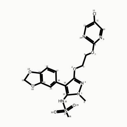 Cn1nc(OCCOc2ncc(Cl)cn2)c(-c2ccc3c(c2)OCO3)c1NS(C)(=O)=O